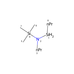 CCC[SiH2]N(CCC)[Si](C)(C)C